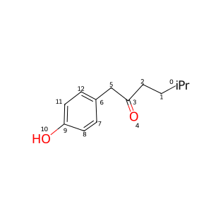 CC(C)CCC(=O)Cc1ccc(O)cc1